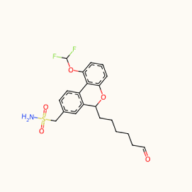 NS(=O)(=O)Cc1ccc2c(c1)C(CCCCCC=O)Oc1cccc(OC(F)F)c1-2